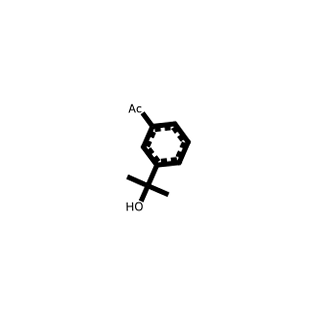 CC(=O)c1cccc(C(C)(C)O)c1